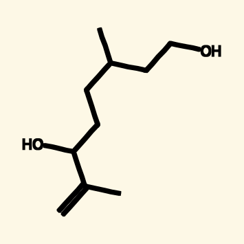 C=C(C)C(O)CCC(C)CCO